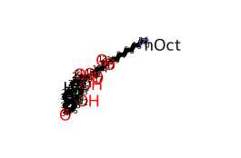 CCCCCCCC/C=C\CCCCCCCCOC(=O)CCC(=O)OCC(=O)[C@@]1(O)[C@H](C)C[C@H]2[C@@H]3CCC4=CC(=O)C=C[C@]4(C)[C@@]3(F)[C@@H](O)C[C@@]21C